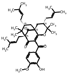 COc1ccc(C(=O)C2=C3OC(C)(C)[C@@H](CC=C(C)C)C[C@@]34C[C@@H](CC=C(C)C)C(C)(C)[C@@](CC=C(C)C)(C2=O)C4=O)cc1O